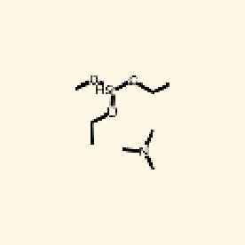 CCO[SiH](OC)OCC.CN(C)C